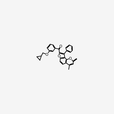 C=C1C=C(C)c2ccc3oc(C(=O)c4cccc(OCC5CC5)c4)c(-c4ccccc4)c3c2O1